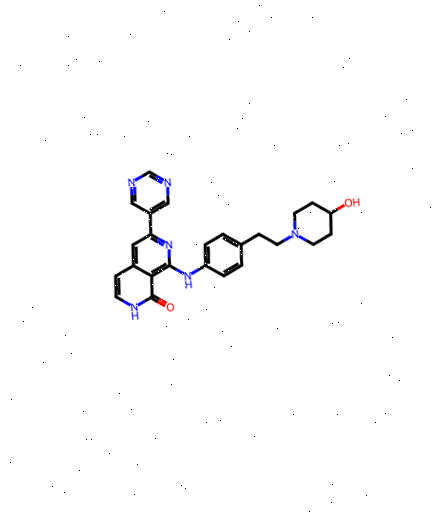 O=c1[nH]ccc2cc(-c3cncnc3)nc(Nc3ccc(CCN4CCC(O)CC4)cc3)c12